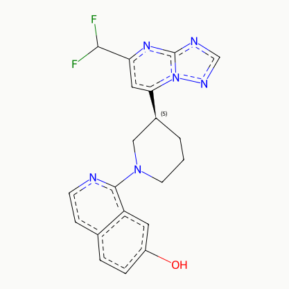 Oc1ccc2ccnc(N3CCC[C@H](c4cc(C(F)F)nc5ncnn45)C3)c2c1